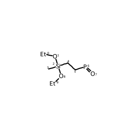 CCO[Si](C)(CCP=O)OCC